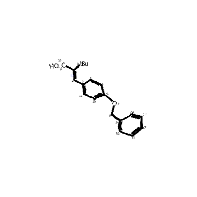 CC(C)(C)/C(=C\c1ccc(OCc2ccccc2)cc1)C(=O)O